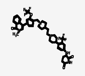 Cn1cc(-c2ccc(CN3CCC(CCN4CCC(c5ccc(NC6CCC(=O)NC6=O)cc5C(F)(F)F)CC4)CC3)c(OC(F)(F)F)c2)c2ccccc2c1=O